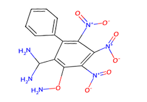 NOc1c(C(N)N)c(-c2ccccc2)c([N+](=O)[O-])c([N+](=O)[O-])c1[N+](=O)[O-]